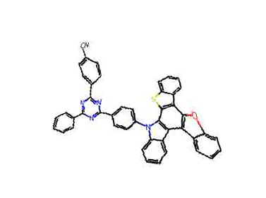 N#Cc1ccc(-c2nc(-c3ccccc3)nc(-c3ccc(-n4c5ccccc5c5c6c7ccccc7oc6c6c7ccccc7sc6c54)cc3)n2)cc1